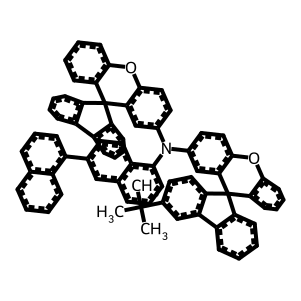 CC(C)(C)c1ccc2c(c1)-c1ccccc1C21c2ccccc2Oc2ccc(N(c3ccc4c(c3)C3(c5ccccc5O4)c4ccccc4-c4ccccc43)c3cccc4cc(-c5cccc6ccccc56)ccc34)cc21